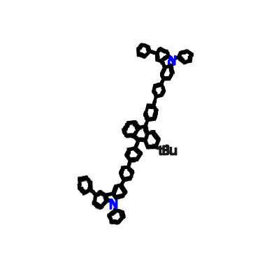 CC(C)(C)c1ccc2c(-c3ccc(-c4ccc(-c5ccc6c(c5)c5cc(-c7ccccc7)ccc5n6-c5ccccc5)cc4)cc3)c3ccccc3c(-c3ccc(-c4ccc(-c5ccc6c(c5)c5cc(-c7ccccc7)ccc5n6-c5ccccc5)cc4)cc3)c2c1